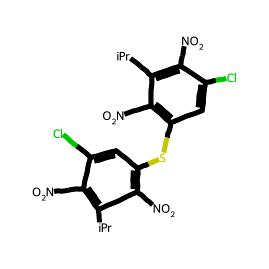 CC(C)c1c([N+](=O)[O-])c(Cl)cc(Sc2cc(Cl)c([N+](=O)[O-])c(C(C)C)c2[N+](=O)[O-])c1[N+](=O)[O-]